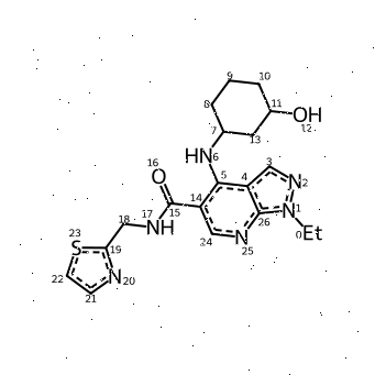 CCn1ncc2c(NC3CCCC(O)C3)c(C(=O)NCc3nccs3)cnc21